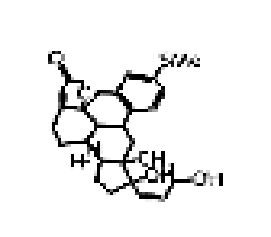 CSc1ccc2c(c1)C[C@]13CCC(=O)C=C1CC[C@@H]1C3C2C[C@@]2(C)[C@H]1CC[C@@]2(O)/C=C\CO